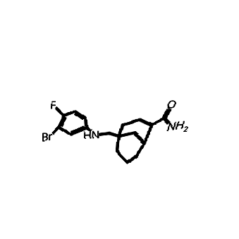 NC(=O)C1CCC2(CNc3ccc(F)c(Br)c3)CCCC1C2